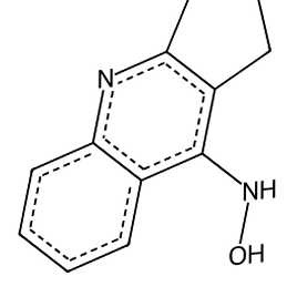 ONc1c2c(nc3ccccc13)CCC2